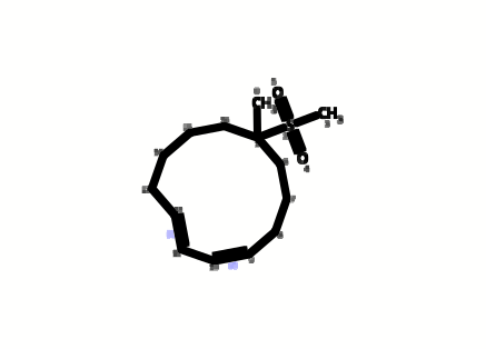 CC1(S(C)(=O)=O)CCC/C=C\C=C\CCCC1